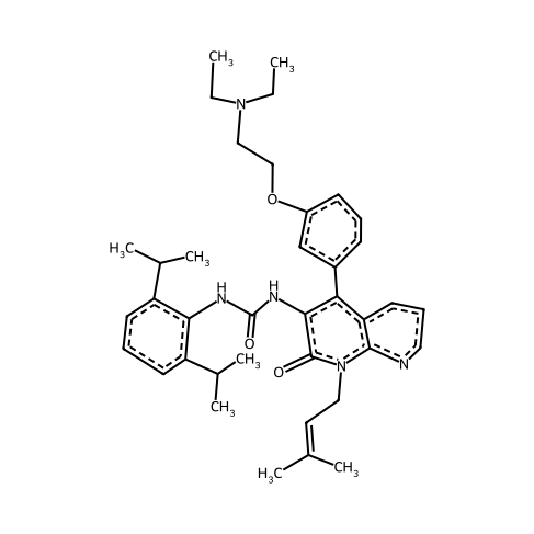 CCN(CC)CCOc1cccc(-c2c(NC(=O)Nc3c(C(C)C)cccc3C(C)C)c(=O)n(CC=C(C)C)c3ncccc23)c1